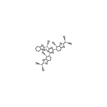 N#CC(C#N)=C1N=c2ccc(-c3nc(-c4ccc5c(c4C#N)=NC(=C(C#N)C#N)N=5)nc(C(C#N)c4nc5ccccc5[nH]4)n3)c(C#N)c2=N1